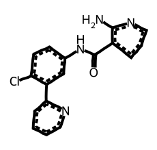 Nc1ncccc1C(=O)Nc1ccc(Cl)c(-c2ccccn2)c1